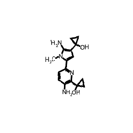 Cn1c(-c2ccc(N)c(C3(O)CC3)n2)cc(C2(O)CC2)c1N